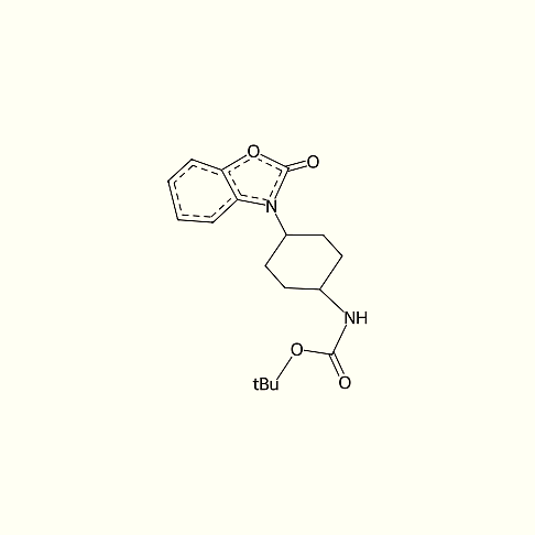 CC(C)(C)OC(=O)NC1CCC(n2c(=O)oc3ccccc32)CC1